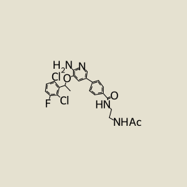 CC(=O)NCCNC(=O)c1ccc(-c2cnc(N)c(OC(C)c3c(Cl)ccc(F)c3Cl)c2)cc1